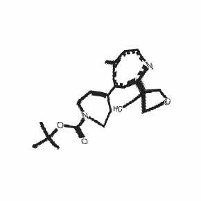 Cc1ccnc(C2(O)COC2)c1C1=CCN(C(=O)OC(C)(C)C)CC1